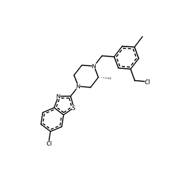 Cc1cc(CCl)cc(CN2CCN(c3nc4ccc(Cl)cc4s3)C[C@H]2C)c1